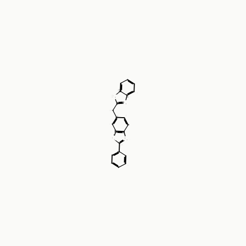 c1ccc(-c2nc3ccc(Cc4nc5ccccc5[nH]4)cc3[nH]2)cc1